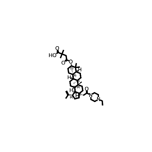 C=C(C)[C@@H]1CC[C@]2(CC(=O)N3CCN(CC)CC3)CC[C@]3(C)[C@H](CC[C@@H]4[C@@]5(C)CC[C@H](OC(=O)CC(C)(C)C(=O)O)C(C)(C)[C@@H]5CC[C@]43C)[C@@H]12